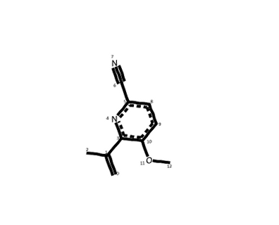 C=C(C)c1nc(C#N)ccc1OC